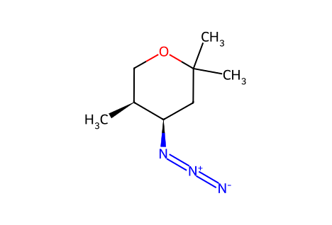 C[C@H]1COC(C)(C)C[C@H]1N=[N+]=[N-]